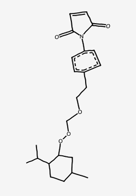 CC1CCC(C(C)C)C(OOCOCCc2ccc(N3C(=O)C=CC3=O)cc2)C1